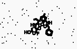 CCC(C(=O)N[C@@H](CC(=O)O)C(=O)CF)n1cc(C)cc(NC(=O)Cc2ccccc2)c1=O